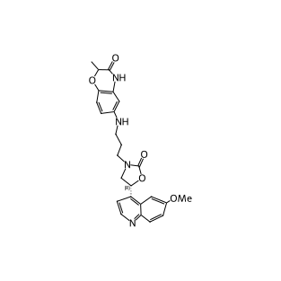 COc1ccc2nccc([C@@H]3CN(CCCNc4ccc5c(c4)NC(=O)C(C)O5)C(=O)O3)c2c1